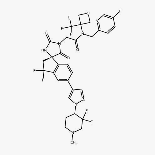 CN1CCC(n2cc(-c3ccc4c(c3)C(F)(F)C[C@]43NC(=O)N(CC(=O)N(Cc4ccc(F)cn4)C4(C(F)(F)F)COC4)C3=O)cn2)C(F)(F)C1